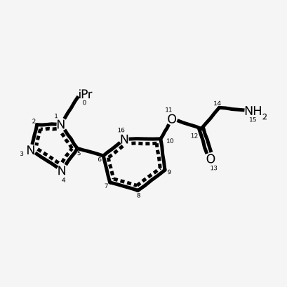 CC(C)n1cnnc1-c1cccc(OC(=O)CN)n1